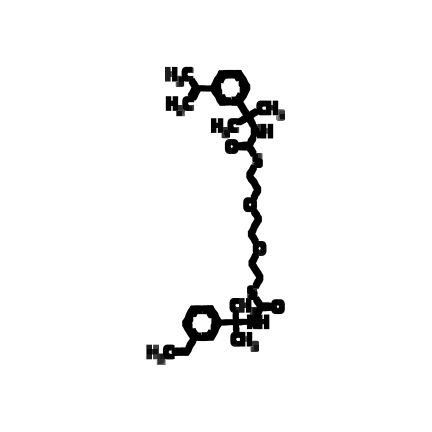 C=Cc1cccc(C(C)(C)NC(=O)SCCOCCOCCSC(=O)NC(C)(C)c2cccc(C(=C)C)c2)c1